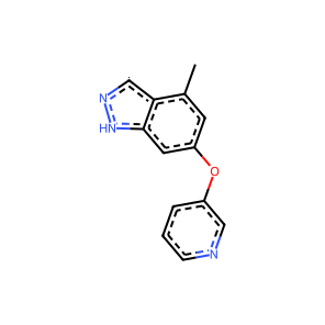 Cc1cc(Oc2cccnc2)cc2[nH]n[c]c12